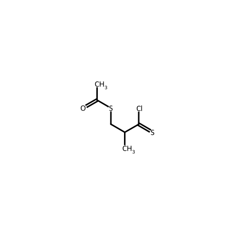 CC(=O)SCC(C)C(=S)Cl